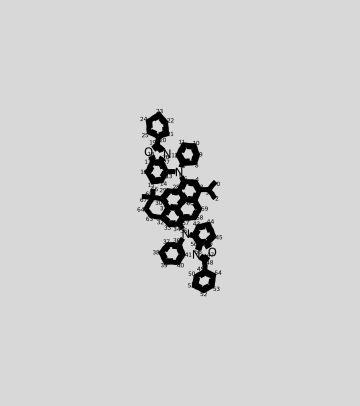 CC(C)c1cc(N(c2ccccc2)c2cccc3oc(-c4ccccc4)nc23)c2cc3c4c(cc(N(c5ccccc5)c5cccc6oc(-c7ccccc7)nc56)c5ccc1c2c54)CCC3(C)C